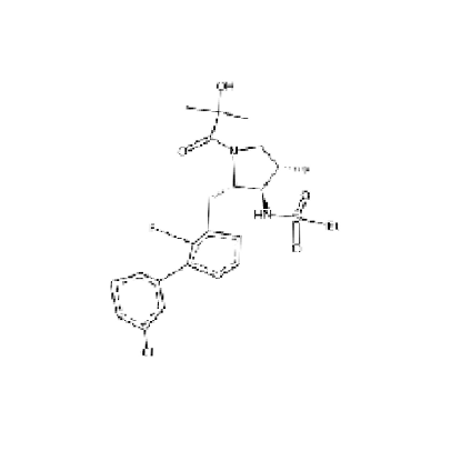 CCS(=O)(=O)N[C@@H]1[C@@H](F)CN(C(=O)C(C)(C)O)[C@H]1Cc1cccc(-c2cccc(Cl)c2)c1F